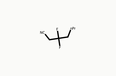 CCCCC(F)(F)CC#N